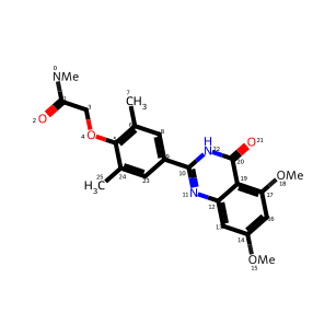 CNC(=O)COc1c(C)cc(-c2nc3cc(OC)cc(OC)c3c(=O)[nH]2)cc1C